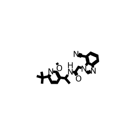 COc1nc(C(C)(C)C)ccc1C(C)NC(=O)Cn1cnc2cccc(C#N)c21